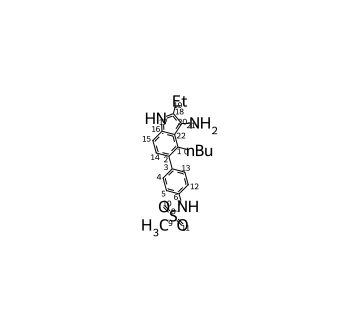 CCCCc1c(-c2ccc(NS(C)(=O)=O)cc2)ccc2[nH]c(CC)c(N)c12